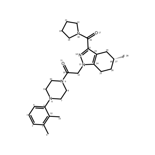 Cc1cccc(N2CCN(C(=O)Cn3nc(C(=O)N4CCCC4)c4c3CC[C@@H](F)C4)CC2)c1C